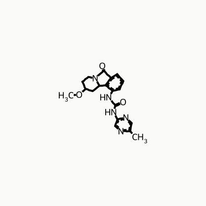 COC1CCN2C(=O)c3cccc(NC(=O)Nc4cnc(C)cn4)c3C2C1